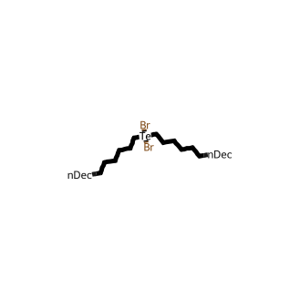 CCCCCCCCCCCCCCCC[Te](Br)(Br)CCCCCCCCCCCCCCCC